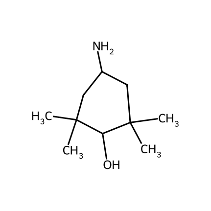 CC1(C)CC(N)CC(C)(C)C1O